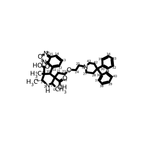 CC1N[C@H](C)C(C)(C(=O)O)C(c2cccc3nonc23)C1(CCOCCN1CCC(c2ccccc2)(c2ccccc2)CC1)C(=O)O